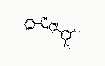 N#C/C(=C\n1cnc(-c2cc(C(F)(F)F)cc(C(F)(F)F)c2)n1)c1cccnc1